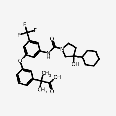 CC(C)(C(=O)O)c1cccc(Oc2cc(NC(=O)N3CCC(O)(C4CCCCC4)C3)cc(C(F)(F)F)c2)c1